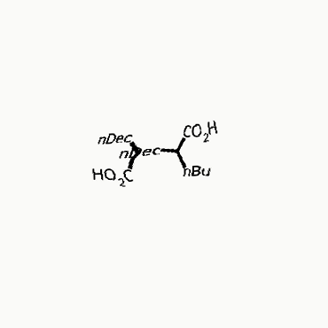 CCCCCCCCCCC(CCCC)C(=O)O.CCCCCCCCCCCC(=O)O